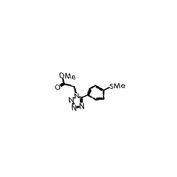 COC(=O)Cn1nnnc1-c1ccc(SC)cc1